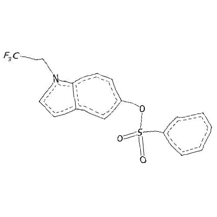 O=S(=O)(Oc1ccc2c(ccn2CC(F)(F)F)c1)c1ccccc1